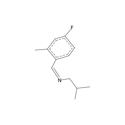 Cc1cc(F)ccc1/C=N\CC(C)C